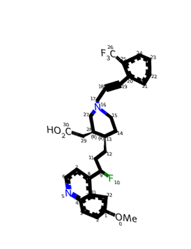 COc1ccc2nccc(C(F)CC[C@@H]3CCN(CC#Cc4ccccc4C(F)(F)F)C[C@@H]3CC(=O)O)c2c1